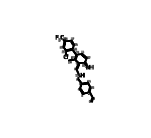 C=Cc1ccc(CN/C=C2\C(=N)C=CC(c3ccc(C(F)(F)F)cc3Cl)=C2C)cc1